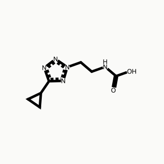 O=C(O)NCCn1nnc(C2CC2)n1